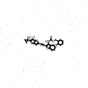 Cc1ccccc1COC(=O)Nc1c(C#Cc2cc3sc(C4(C(=O)O)CC4)cc3s2)oc2ccccc12